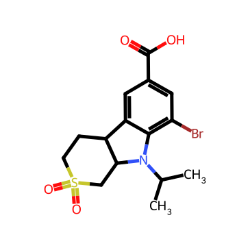 CC(C)N1c2c(Br)cc(C(=O)O)cc2C2CCS(=O)(=O)CC21